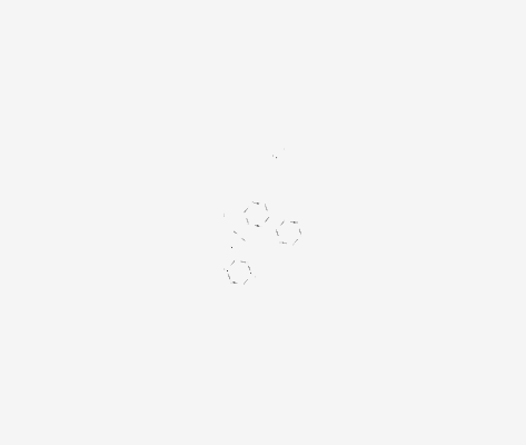 Cc1c(Cl)cccc1S(=O)(=O)Nc1nc2c(nc1OCc1ccc(Cl)c(OCC3CCN(C)CC3)c1)CCC2